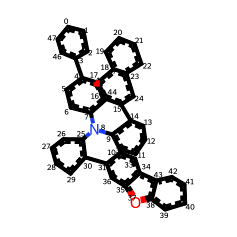 c1ccc(-c2ccc(N(c3ccccc3-c3ccc4ccccc4c3)c3ccccc3-c3ccc4c(c3)oc3ccccc34)cc2)cc1